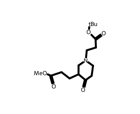 COC(=O)CCC1CN(CCC(=O)OC(C)(C)C)CCC1=O